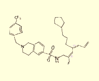 C=C/C=C(\C=C(\F)CNS(=O)(=O)c1ccc2c(c1)CCN(Cc1ccc(C(F)(F)F)cc1)C2)CCCC1CCCC1